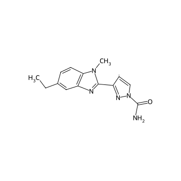 CCc1ccc2c(c1)nc(-c1[c]cn(C(N)=O)n1)n2C